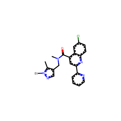 CCn1ncc(CN(C)C(=O)c2cc(-c3ccccn3)nc3ccc(Cl)cc23)c1C